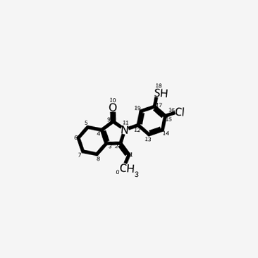 C/C=C1\C2=C(CCCC2)C(=O)N1c1ccc(Cl)c(S)c1